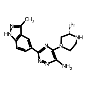 Cc1n[nH]c2ccc(-c3nnc(N)c(N4CCN[C@@H](C(C)C)C4)n3)cc12